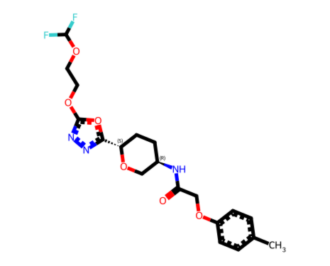 Cc1ccc(OCC(=O)N[C@@H]2CC[C@@H](c3nnc(OCCOC(F)F)o3)OC2)cc1